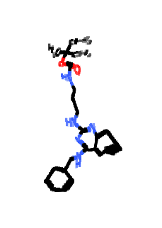 CC(C)(C)OC(=O)NCCCNc1nc(NCc2ccccc2)c2ccccc2n1